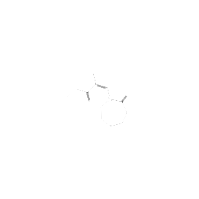 COC(=O)C(C)=CN1CCCCCC1=O